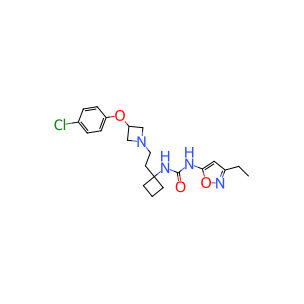 CCc1cc(NC(=O)NC2(CCN3CC(Oc4ccc(Cl)cc4)C3)CCC2)on1